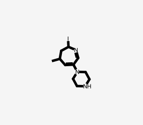 CC1C=C(N2CCNCC2)C=NC(I)C1